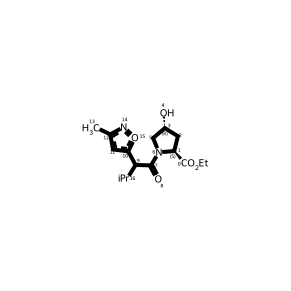 CCOC(=O)[C@@H]1C[C@@H](O)CN1C(=O)C(c1cc(C)no1)C(C)C